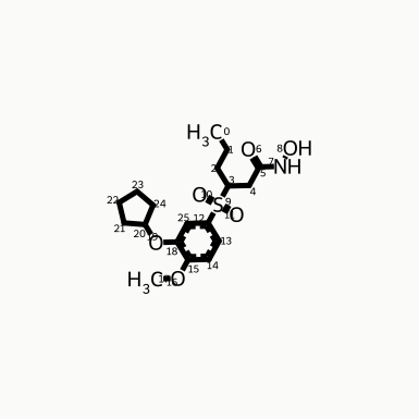 CCCC(CC(=O)NO)S(=O)(=O)c1ccc(OC)c(OC2CCCC2)c1